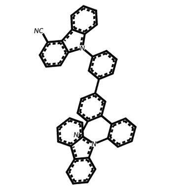 N#Cc1ccc(-c2cccc(-n3c4ccccc4c4c(C#N)cccc43)c2)cc1-c1ccccc1-n1c2ccccc2c2ccccc21